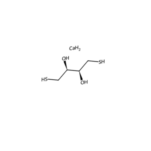 O[C@H](CS)[C@H](O)CS.[CaH2]